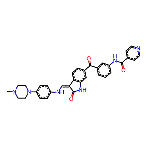 CN1CCN(c2ccc(NC=C3C(=O)Nc4cc(C(=O)c5cccc(NC(=O)c6ccncc6)c5)ccc43)cc2)CC1